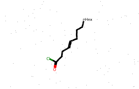 CCCCCCCCCC=CCCC(=O)Cl